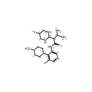 CN1CCN(c2c(F)cncc2NC(=O)C(C(N)N)C2NCC(F)CN2)CC1